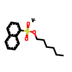 CCCCCCOS(=O)(=O)c1cccc2ccccc12.[V]